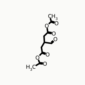 CC(=O)OC(=O)CC(C=O)CC(=O)OC(C)=O